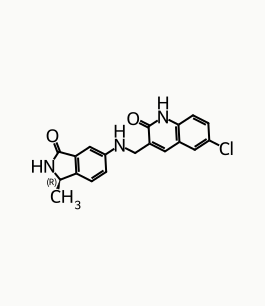 C[C@H]1NC(=O)c2cc(NCc3cc4cc(Cl)ccc4[nH]c3=O)ccc21